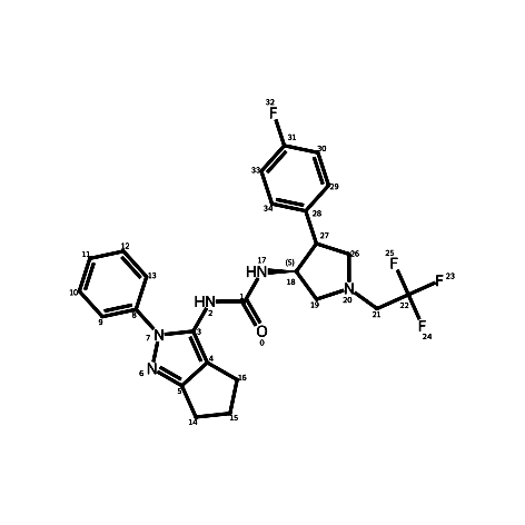 O=C(Nc1c2c(nn1-c1ccccc1)CCC2)N[C@@H]1CN(CC(F)(F)F)CC1c1ccc(F)cc1